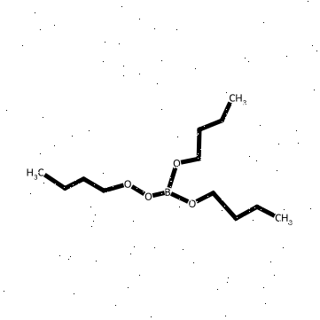 CCCCOOB(OCCCC)OCCCC